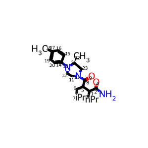 CCCC(C(N)=O)C(CC(C)C)C(=O)N1CCN(c2ccc(C)cc2)[C@H](C)C1